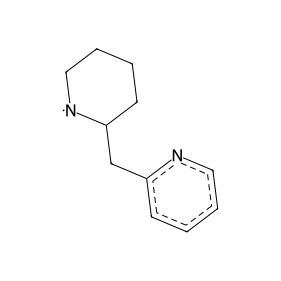 c1ccc(CC2CCCC[N]2)nc1